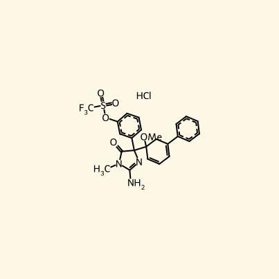 COC1(C2(c3cccc(OS(=O)(=O)C(F)(F)F)c3)N=C(N)N(C)C2=O)C=CC=C(c2ccccc2)C1.Cl